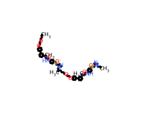 CCCCOCCOc1ccc(-c2cccc(/C(C)=C/C(=O)Nc3ccc([S@@+]([O-])Cc4cncn4CC(C)CCCCOCCOc4ccc(-c5cccc(/C(C)=C/C(=O)Nc6ccc([S@+]([O-])Cc7cncn7CCC)cc6)c5)cc4)cc3)c2)cc1